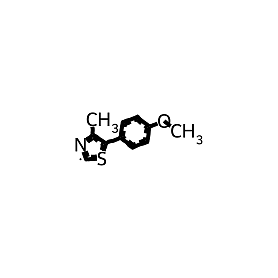 COc1ccc(-c2s[c]nc2C)cc1